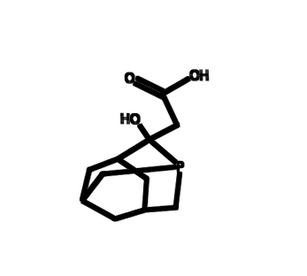 O=C(O)CC1(O)C2CC3CC(C2)CP1C3